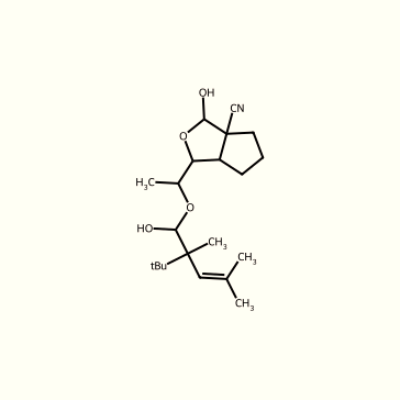 CC(C)=CC(C)(C(O)OC(C)C1OC(O)C2(C#N)CCCC12)C(C)(C)C